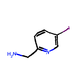 NCc1ccc(I)cn1